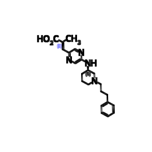 C/C(=C\c1cnc(N[C@@H]2CCCN(CCCc3ccccc3)C2)cn1)C(=O)O